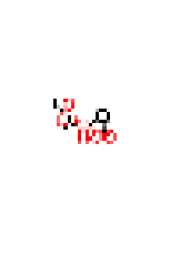 C=CC(=O)OC(C)(C)COC(=O)c1ccccc1C(=O)O